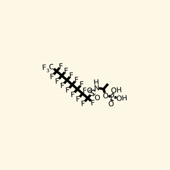 CC(NS(=O)(=O)C(F)(F)C(F)(F)C(F)(F)C(F)(F)C(F)(F)C(F)(F)C(F)(F)C(F)(F)F)OP(=O)(O)O